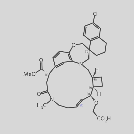 COC(=O)[C@H]1CC(=O)N(C)CC/C=C/[C@H](OCC(=O)O)[C@@H]2CC[C@H]2CN2C[C@@]3(CCCc4cc(Cl)ccc43)COc3ccc1cc32